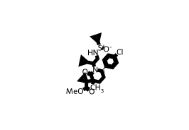 COC(=O)C1(C2(C)CC[C@@H](c3ccc(Cl)cc3)N(C(CN[S+]([O-])C3CC3)C3CC3)C2=O)CC1